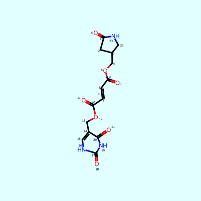 O=C1CC(COC(=O)/C=C/C(=O)OCc2c[nH]c(=O)[nH]c2=O)CN1